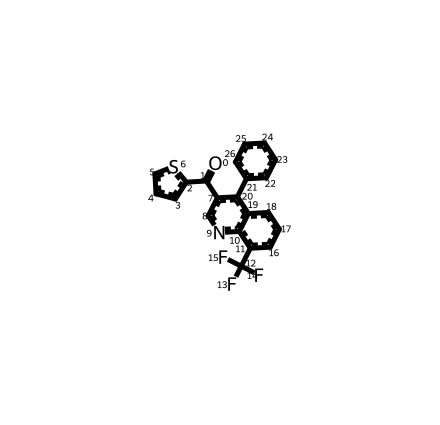 O=C(c1cccs1)c1cnc2c(C(F)(F)F)cccc2c1-c1ccccc1